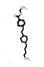 CCCCCC1CCC(CCc2ccc(C(=O)OCC)cc2)CC1